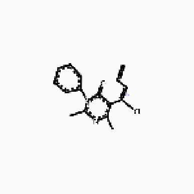 C=C/C=C(/Cl)c1c(C)nc(C)n(-c2ccccc2)c1=O